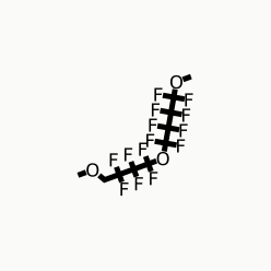 COCC(F)(F)C(F)(F)C(F)(F)OC(F)(F)C(F)(F)C(F)(F)C(F)(F)OC